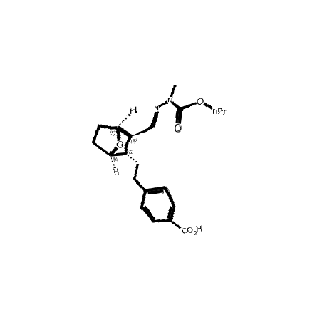 CCCOC(=O)N(C)N=C[C@H]1[C@H](CCc2ccc(C(=O)O)cc2)[C@H]2CC[C@@H]1O2